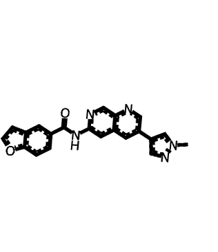 Cn1cc(-c2cnc3cnc(NC(=O)c4ccc5occc5c4)cc3c2)cn1